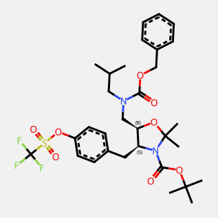 CC(C)CN(C[C@H]1OC(C)(C)N(C(=O)OC(C)(C)C)[C@H]1Cc1ccc(OS(=O)(=O)C(F)(F)F)cc1)C(=O)OCc1ccccc1